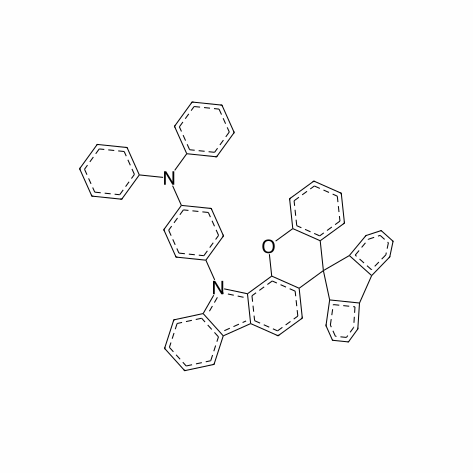 c1ccc(N(c2ccccc2)c2ccc(-n3c4ccccc4c4ccc5c(c43)Oc3ccccc3C53c4ccccc4-c4ccccc43)cc2)cc1